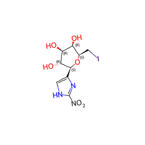 O=[N+]([O-])c1nc([C@@H]2O[C@H](CI)[C@H](O)[C@H](O)[C@H]2O)c[nH]1